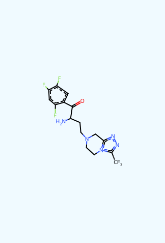 NC(CCN1CCn2c(nnc2C(F)(F)F)C1)C(=O)c1cc(F)c(F)cc1F